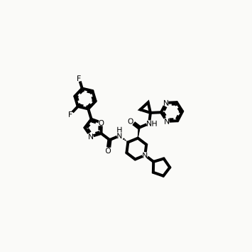 O=C(N[C@H]1CCN(C2CCCC2)C[C@@H]1C(=O)NC1(c2ncccn2)CC1)c1ncc(-c2ccc(F)cc2F)o1